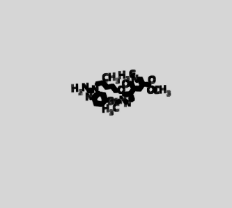 CCn1ncc(-c2cc(C(=O)OC)cn(C)c2=O)c1OCCC[C@@H](C)Cn1c(N)nc2ccc(Br)cc21